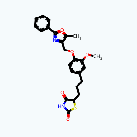 COc1cc(CCCC2SC(=O)NC2=O)ccc1OCc1nc(-c2ccccc2)oc1C